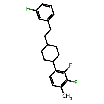 Cc1ccc(C2CCC(CCc3cccc(F)c3)CC2)c(F)c1F